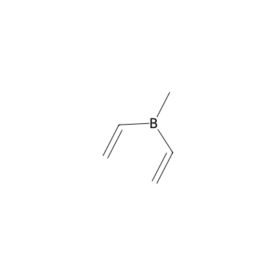 C=CB(C)C=C